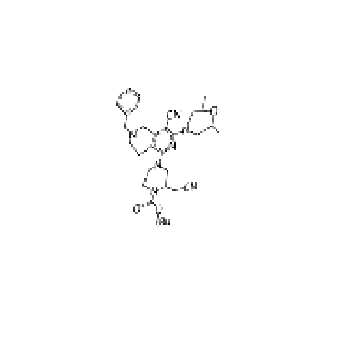 CC1CN(c2nc(N3CCN(C(=O)OC(C)(C)C)C(CC#N)C3)c3c(c2C#N)CN(Cc2ccccc2)CC3)CC(C)O1